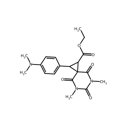 CCOC(=O)C1C(c2ccc(N(C)C)cc2)C12C(=O)N(C)C(=O)N(C)C2=O